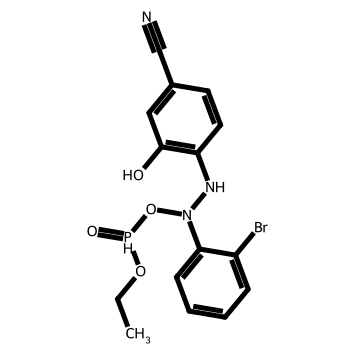 CCO[PH](=O)ON(Nc1ccc(C#N)cc1O)c1ccccc1Br